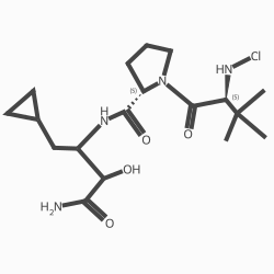 CC(C)(C)[C@H](NCl)C(=O)N1CCC[C@H]1C(=O)NC(CC1CC1)C(O)C(N)=O